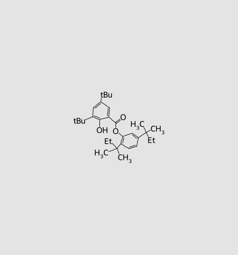 CCC(C)(C)c1ccc(C(C)(C)CC)c(OC(=O)c2cc(C(C)(C)C)cc(C(C)(C)C)c2O)c1